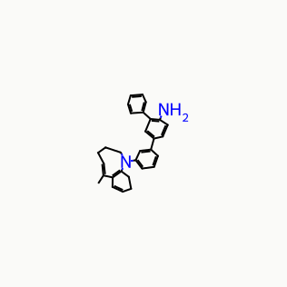 C/C1=C\CCCN(c2cccc(-c3ccc(N)c(-c4ccccc4)c3)c2)C2=C1C=CCC2